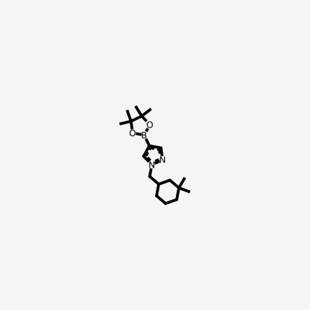 CC1(C)CCCC(Cn2cc(B3OC(C)(C)C(C)(C)O3)cn2)C1